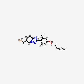 CSCCCOc1cc(C)c(-c2nc3ccc(CBr)cn3n2)c(C)c1